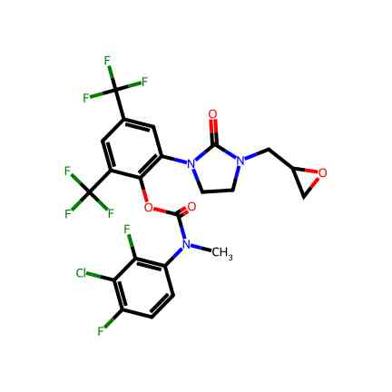 CN(C(=O)Oc1c(N2CCN(CC3CO3)C2=O)cc(C(F)(F)F)cc1C(F)(F)F)c1ccc(F)c(Cl)c1F